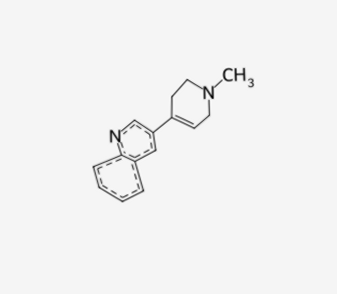 CN1CC=C(c2cnc3ccccc3c2)CC1